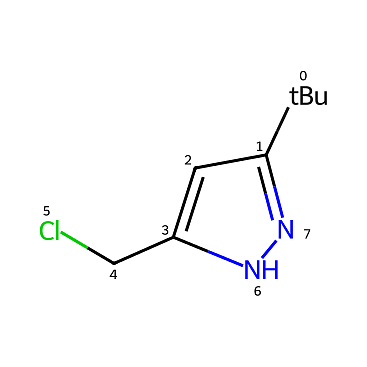 CC(C)(C)c1cc(CCl)[nH]n1